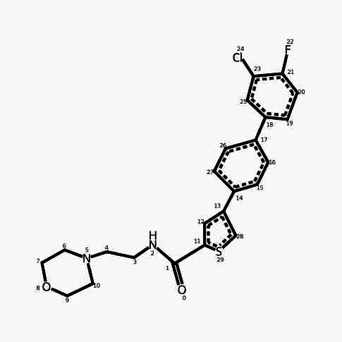 O=C(NCCN1CCOCC1)c1cc(-c2ccc(-c3ccc(F)c(Cl)c3)cc2)cs1